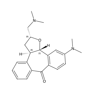 CN(C)C[C@H]1C[C@@H]2c3ccccc3C(=O)c3ccc(N(C)C)cc3[C@H]2O1